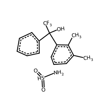 Cc1cccc(C(O)(c2ccccc2)C(F)(F)F)c1C.N[SH](=O)=O